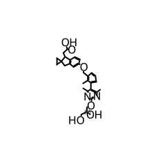 Cc1nc(OC[C@@H](O)CO)nc(C)c1-c1cccc(COc2ccc3c(c2)CC2(CC2)C3CC(=O)O)c1C